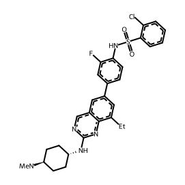 CCc1cc(-c2ccc(NS(=O)(=O)c3ccccc3Cl)c(F)c2)cc2cnc(N[C@H]3CC[C@H](NC)CC3)nc12